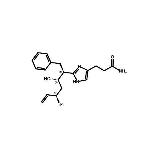 C=C[C@@H](C[C@H](O)[C@@H](Cc1ccccc1)c1nc(CCC(N)=O)c[nH]1)C(C)C